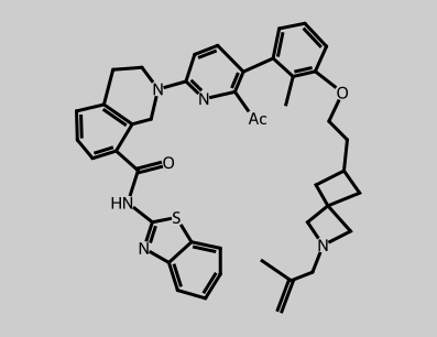 C=C(C)CN1CC2(CC(CCOc3cccc(-c4ccc(N5CCc6cccc(C(=O)Nc7nc8ccccc8s7)c6C5)nc4C(C)=O)c3C)C2)C1